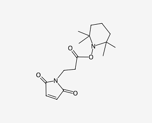 CC1(C)CCCC(C)(C)N1OC(=O)CCN1C(=O)C=CC1=O